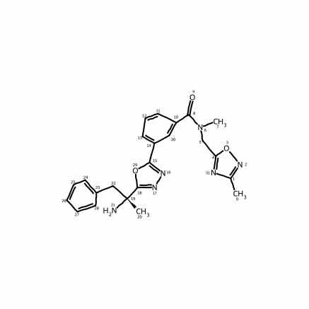 Cc1noc(CN(C)C(=O)c2cccc(-c3nnc([C@](C)(N)Cc4ccccc4)o3)c2)n1